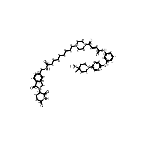 CC1(N)CCN(c2cnc(Sc3cccc(NC(=O)/C=C/C(=O)N4CCN(CCCCCCCCC(=O)NCc5ccc6c(c5)CN(C5CCC(=O)NC5=O)C6=O)CC4)c3)cn2)CC1